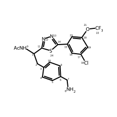 CC(=O)NC(Cc1ccc(CN)cc1)c1nnc(-c2cc(Cl)cc(OC(F)(F)F)c2)s1